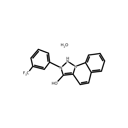 O.OC1=C2C=Cc3ccccc3N2NN1c1cccc(C(F)(F)F)c1